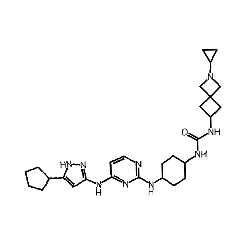 O=C(NC1CCC(Nc2nccc(Nc3cc(C4CCCC4)[nH]n3)n2)CC1)NC1CC2(C1)CN(C1CC1)C2